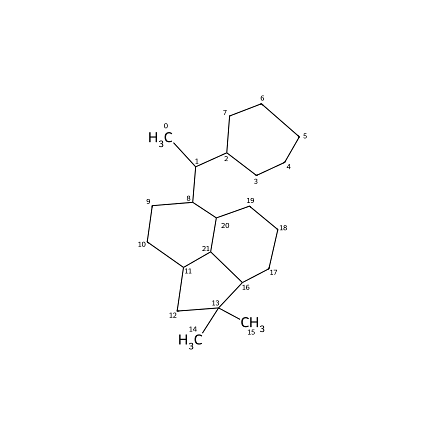 CC(C1CCCCC1)C1CCC2CC(C)(C)C3CCCC1C23